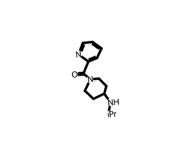 CC(C)NC1CCN(C(=O)c2ccccn2)CC1